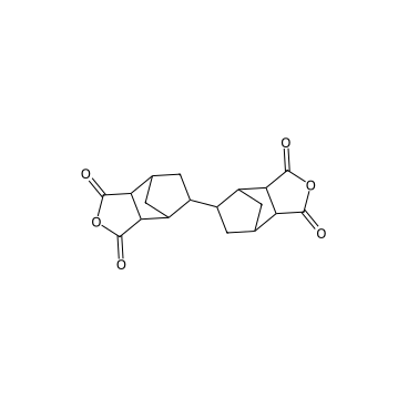 O=C1OC(=O)C2C3CC(CC3C3CC4CC3C3C(=O)OC(=O)C43)C12